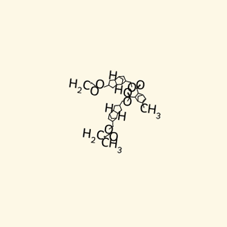 C=CC(=O)OCC1C[C@@H]2C3CC(CC3COC(=O)C3C4C=C(C)C(C4)C3C(=O)OCC3C[C@@H]4C5CC(CC5COC(=O)C(=C)C)[C@@H]4C3)[C@@H]2C1